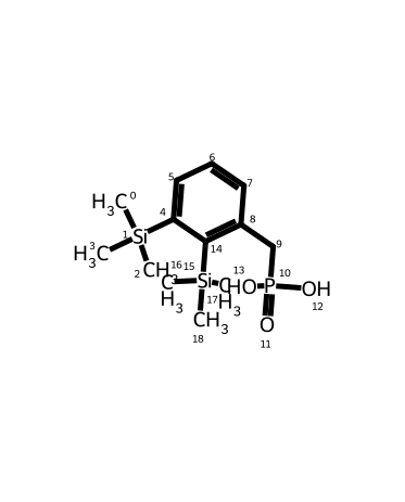 C[Si](C)(C)c1cccc(CP(=O)(O)O)c1[Si](C)(C)C